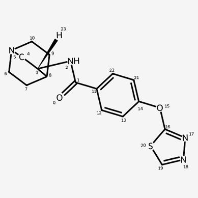 O=C(N[C@H]1CN2CCC1CC2)c1ccc(Oc2nncs2)cc1